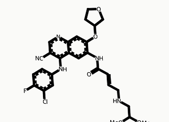 COC(CNC/C=C/C(=O)Nc1cc2c(Nc3ccc(F)c(Cl)c3)c(C#N)cnc2cc1OC1CCOC1)OC